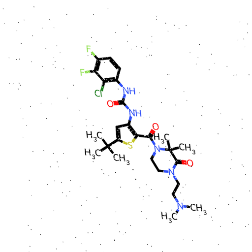 CN(C)CCN1CCN(C(=O)c2sc(C(C)(C)C)cc2NC(=O)Nc2ccc(F)c(F)c2Cl)C(C)(C)C1=O